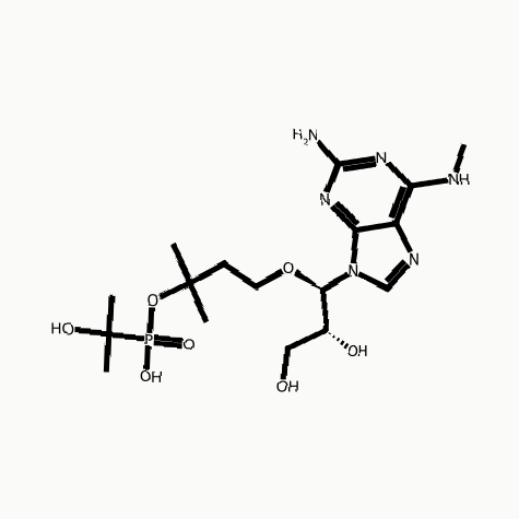 CNc1nc(N)nc2c1ncn2[C@H](OCCC(C)(C)OP(=O)(O)C(C)(C)O)[C@H](O)CO